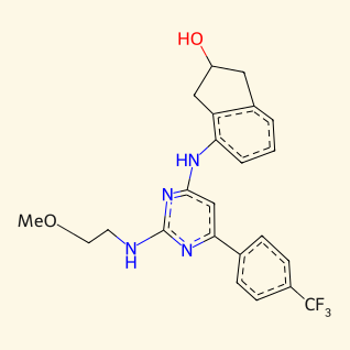 COCCNc1nc(Nc2cccc3c2CC(O)C3)cc(-c2ccc(C(F)(F)F)cc2)n1